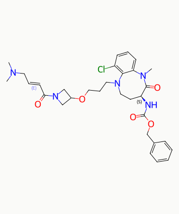 CN(C)C/C=C/C(=O)N1CC(OCCCN2CC[C@H](NC(=O)OCc3ccccc3)C(=O)N(C)c3cccc(Cl)c32)C1